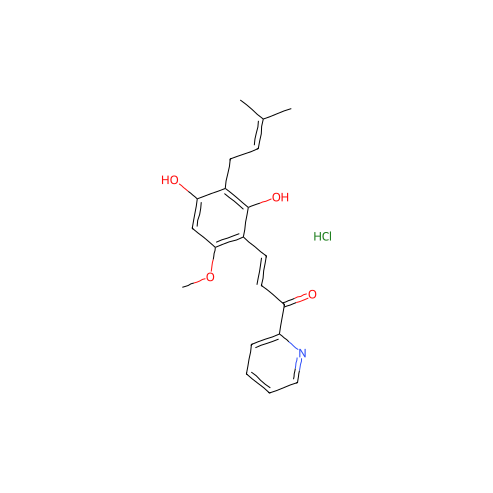 COc1cc(O)c(CC=C(C)C)c(O)c1C=CC(=O)c1ccccn1.Cl